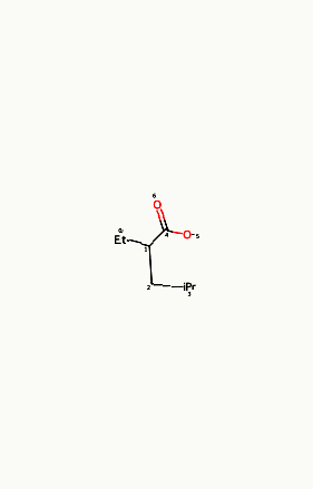 CCC(CC(C)C)C([O])=O